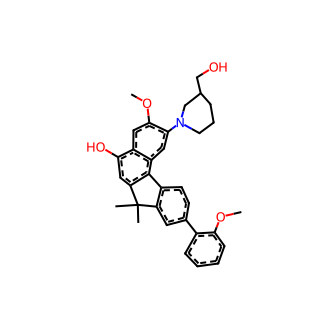 COc1ccccc1-c1ccc2c(c1)C(C)(C)c1cc(O)c3cc(OC)c(N4CCCC(CO)C4)cc3c1-2